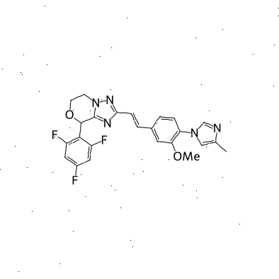 COc1cc(C=Cc2nc3n(n2)CCOC3c2c(F)cc(F)cc2F)ccc1-n1cnc(C)c1